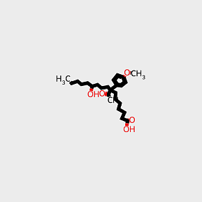 CCCCCC(O)CCCC(CCCCCCC(=O)O)(C(C)=O)c1ccc(OC)cc1